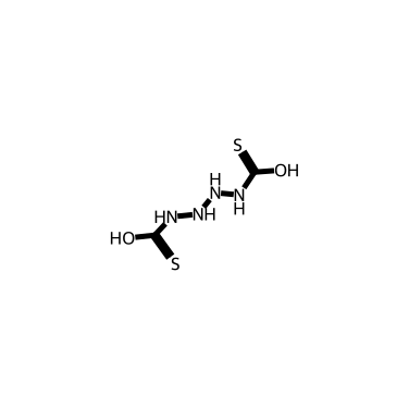 OC(=S)NNNNC(O)=S